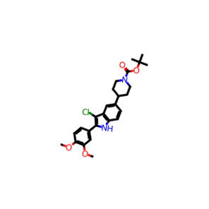 COc1ccc(-c2[nH]c3ccc(C4CCN(C(=O)OC(C)(C)C)CC4)cc3c2Cl)cc1OC